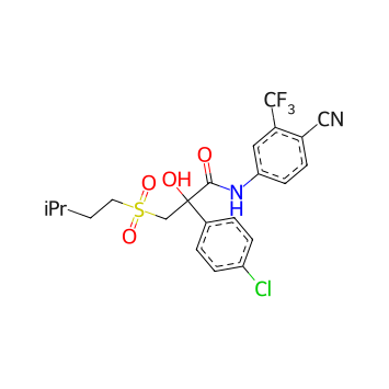 CC(C)CCS(=O)(=O)CC(O)(C(=O)Nc1ccc(C#N)c(C(F)(F)F)c1)c1ccc(Cl)cc1